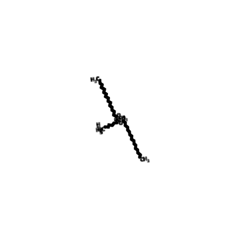 CCCCCCCCCCCCCCCCCC(=O)O[Si](C)(CCCCCCC)OC(=O)CCCCCCCCCCCCCCCCC.OC=S